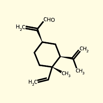 C=C[C@]1(C)CC[C@@H](C(=C)C=O)C[C@H]1C(=C)C